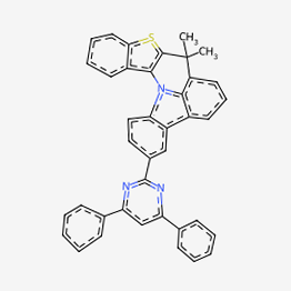 CC1(C)c2sc3ccccc3c2-n2c3ccc(-c4nc(-c5ccccc5)cc(-c5ccccc5)n4)cc3c3cccc1c32